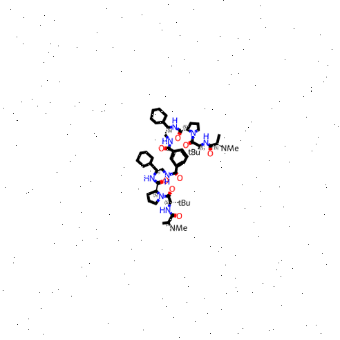 CN[C@@H](C)C(=O)N[C@H](C(=O)N1CCC[C@H]1C(=O)N[C@H](CNC(=O)c1cccc(C(=O)NC[C@@H](NC(=O)[C@@H]2CCCN2C(=O)[C@@H](NC(=O)[C@H](C)NC)C(C)(C)C)C2CCCCC2)c1)C1CCCCC1)C(C)(C)C